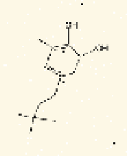 CC1=C(O)C(O)CC(CCC(C)(C)C)=C1